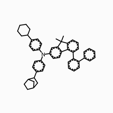 CC1(C)c2cc(N(c3ccc(C4CCCCC4)cc3)c3ccc(C4CC5CCC4C5)cc3)ccc2-c2c(-c3ccccc3-c3ccccc3)cccc21